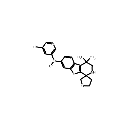 CC1(C)CNC2(CCOC2)c2oc3cc([S+]([O-])c4cncc(Cl)c4)ccc3c21